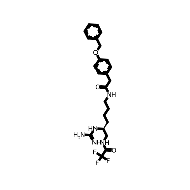 N=C(N)N[C@@H](CCCCNC(=O)Cc1ccc(OCc2ccccc2)cc1)CNC(=O)C(F)(F)F